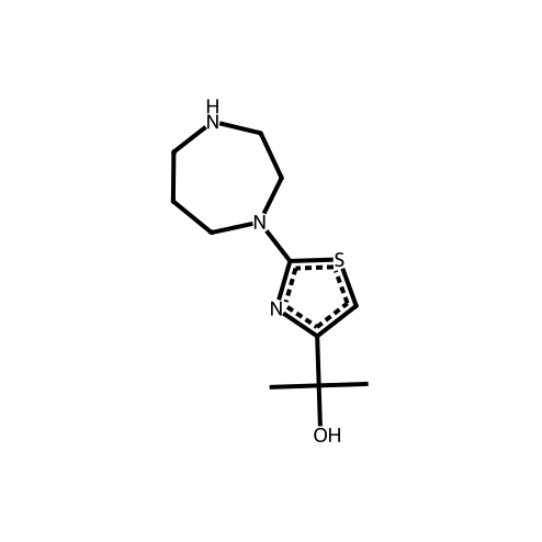 CC(C)(O)c1csc(N2CCCNCC2)n1